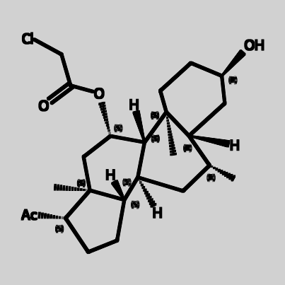 CC(=O)[C@H]1CC[C@H]2[C@@H]3C[C@@H](C)[C@H]4C[C@H](O)CC[C@]4(C)[C@H]3[C@@H](OC(=O)CCl)C[C@]12C